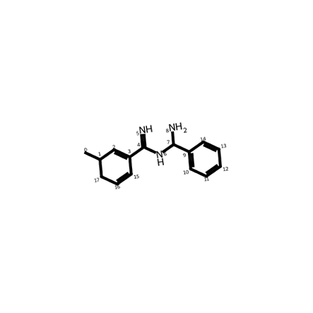 CC1C=C(C(=N)NC(N)c2ccccc2)C=CC1